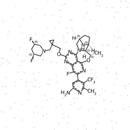 Cc1nc(N)cc(-c2nc3c4c(nc(OCC5(CN6C[C@H](F)C[C@H](F)C6)CC5)nc4c2F)N2C[C@H]4CC[C@H](N4)[C@H]2[C@H](C)O3)c1C(F)(F)F